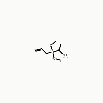 C=CC[Si](OC)(OC)C(C)N